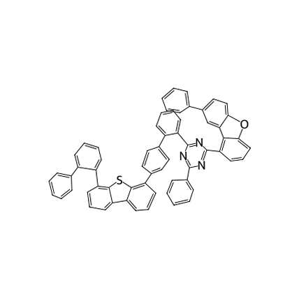 c1ccc(-c2ccc3oc4cccc(-c5nc(-c6ccccc6)nc(-c6ccccc6-c6ccc(-c7cccc8c7sc7c(-c9ccccc9-c9ccccc9)cccc78)cc6)n5)c4c3c2)cc1